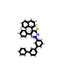 c1ccc(-c2cccc(-c3cccc(-c4nc(-c5ccccc5)c5c(n4)sc4ccc6ccccc6c45)c3)c2)cc1